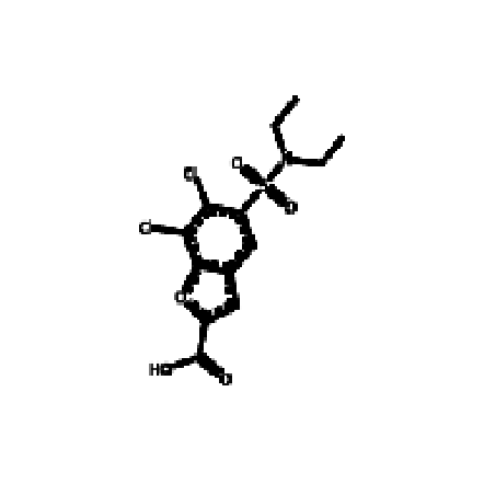 CCN(CC)S(=O)(=O)c1cc2cc(C(=O)O)oc2c(Cl)c1Cl